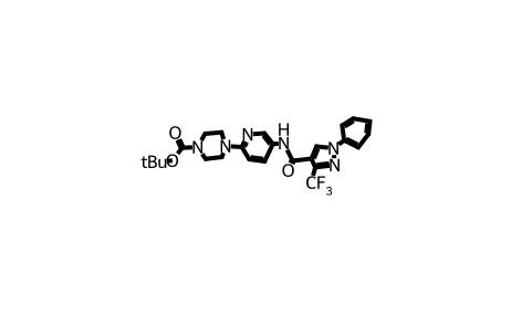 CC(C)(C)OC(=O)N1CCN(c2ccc(NC(=O)c3cn(-c4ccccc4)nc3C(F)(F)F)cn2)CC1